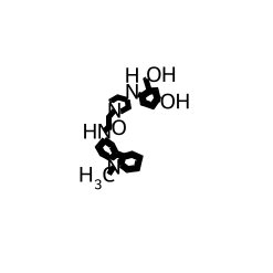 Cn1c2ccccc2c2cc(NC(=O)CN3CCC(Nc4ccc(O)cc4CO)CC3)ccc21